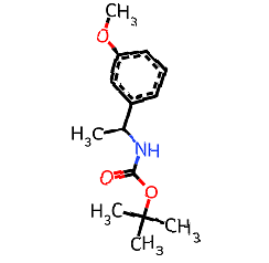 COc1cccc(C(C)NC(=O)OC(C)(C)C)c1